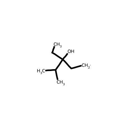 [CH2]CC(O)(CC)C(C)C